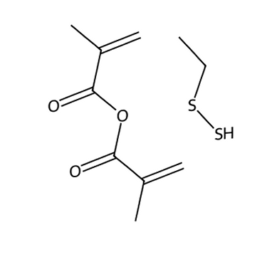 C=C(C)C(=O)OC(=O)C(=C)C.CCSS